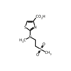 CN(CCS(C)(=O)=O)c1nc(C(=O)O)cs1